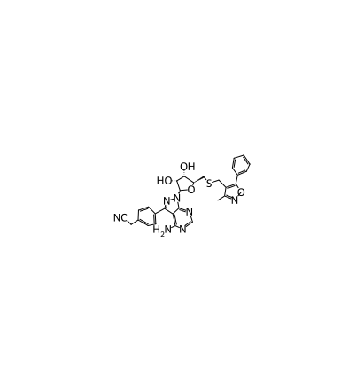 Cc1noc(-c2ccccc2)c1CSC[C@H]1O[C@@H](n2nc(-c3ccc(CC#N)cc3)c3c(N)ncnc32)[C@H](O)[C@@H]1O